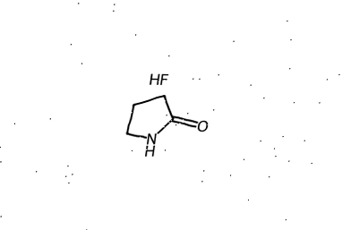 F.O=C1CCCN1